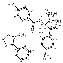 CN1CCCC1c1cccnc1.Cc1ccc(C(=O)O[C@](C(=O)O)(C(=O)c2ccc(C)cc2)C(O)C(=O)O)cc1